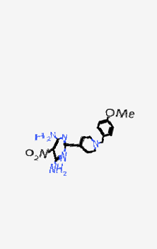 COc1ccc(CN2CCC(c3nc(N)c([N+](=O)[O-])c(N)n3)CC2)cc1